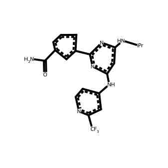 CC(C)Nc1cc(Nc2ccnc(C(F)(F)F)c2)nc(-c2cccc(C(N)=O)c2)n1